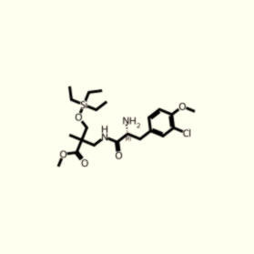 CC[Si](CC)(CC)OCC(C)(CNC(=O)[C@H](N)Cc1ccc(OC)c(Cl)c1)C(=O)OC